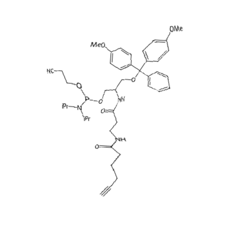 C#CCCCC(=O)NCCC(=O)NC(COP(OCCC#N)N(C(C)C)C(C)C)COC(c1ccccc1)(c1ccc(OC)cc1)c1ccc(OC)cc1